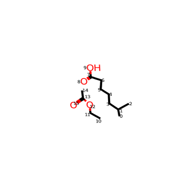 CC(C)CCCCC(=O)O.CCOC(C)=O